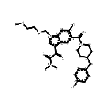 COCCOCn1cc(C(=O)C(=O)N(C)C)c2cc(C(=O)N3CCC(Cc4ccc(F)cc4)CC3)c(Cl)cc21